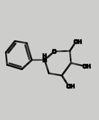 OC1C[SiH](c2ccccc2)OC(O)C1O